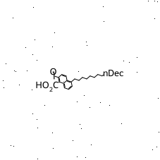 CCCCCCCCCCCCCCCCCCc1cccc2c(C(=O)O)c(I=O)ccc12